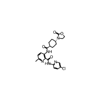 Cc1ccc(NC(=O)[C@H]2CC[C@H](N3CCOC3=O)CC2)c(C(=O)Nc2ccc(Cl)cn2)n1